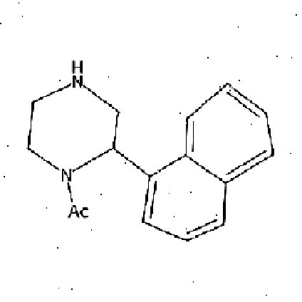 CC(=O)N1CCNCC1c1cccc2ccccc12